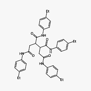 CCc1ccc(NC(=O)CC(C(=O)Nc2ccc(CC)cc2)C(CC(=O)Nc2ccc(CC)cc2)C(=O)Nc2ccc(CC)cc2)cc1